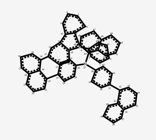 c1ccc(-n2c3ccccc3c3cc(-c4cccc5cccc(-c6ccc(N(c7ccc(-c8cccc9ccccc89)cc7)c7cccc8ccccc78)cc6)c45)ccc32)cc1